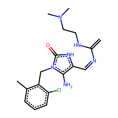 C=C(/N=C\c1[nH]c(=O)n(Cc2c(C)cccc2Cl)c1N)NCCN(C)C